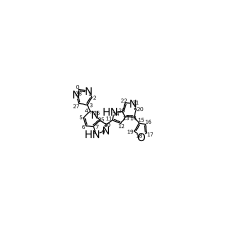 c1ncc(-c2ccc3[nH]nc(-c4cc5c(-c6ccoc6)cncc5[nH]4)c3n2)cn1